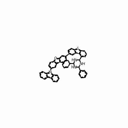 C1=CCC(C2NC(c3ccccc3)NC(c3cccc4sc5ccc(-c6ccc7c(c6)oc6ccc(-n8c9ccccc9c9ccccc98)cc67)cc5c34)N2)C=C1